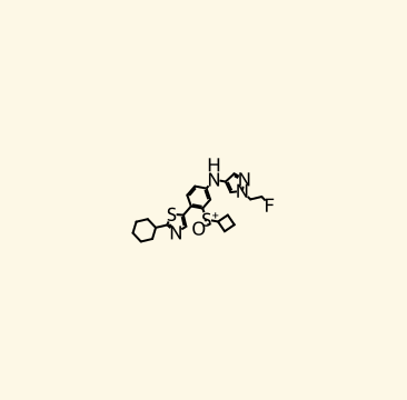 [O-][S+](c1cc(Nc2cnn(CCF)c2)ccc1-c1cnc(C2CCCCC2)s1)C1CCC1